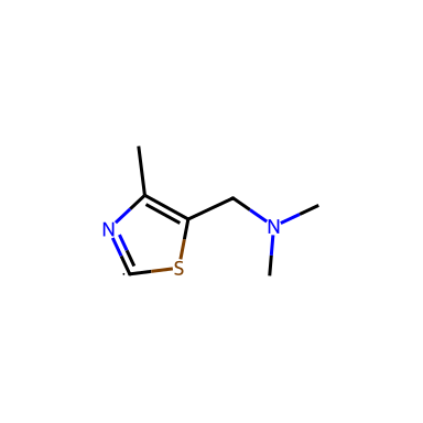 Cc1n[c]sc1CN(C)C